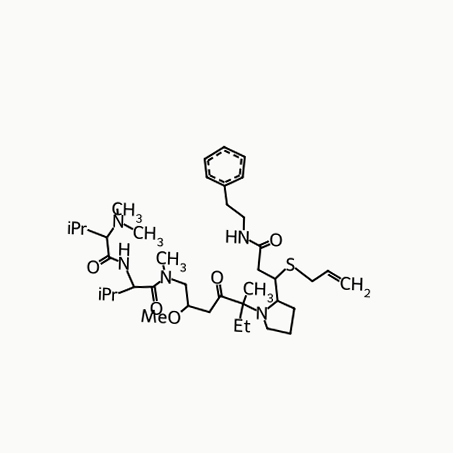 C=CCSC(CC(=O)NCCc1ccccc1)C1CCCN1C(C)(CC)C(=O)CC(CN(C)C(=O)C(NC(=O)C(C(C)C)N(C)C)C(C)C)OC